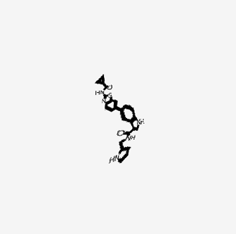 O=C(NCc1ccc[nH]1)c1c[nH]c2ccc(-c3ccc4nc(NC(=O)C5CC5)sc4c3)cc12